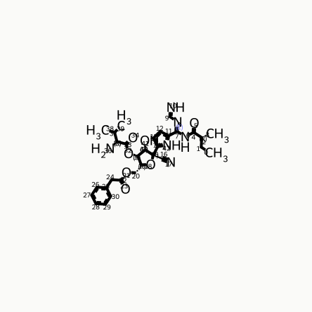 CC[C@@H](C)C(=O)N/C(=N/C=N)c1ccc([C@]2(C#N)O[C@H](COC(=O)Cc3ccccc3)[C@@H](OC(=O)[C@@H](N)C(C)C)[C@H]2O)[nH]1